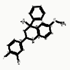 CC1(c2ccccc2)CC(c2ccc(F)c(Cl)c2)Nc2ccc(OC(=O)O)cc21